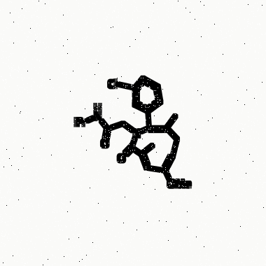 COC1=C/C/C(C)=C(/c2cccc(Cl)c2)N(CC(=O)NC(C)C)C(=O)\C(C)=C\1